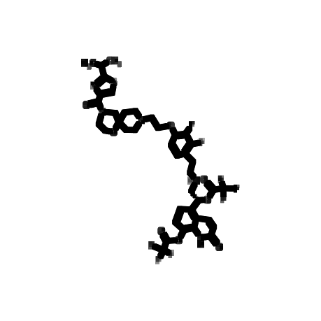 CC(C)c1nc(C(=O)N2CCOC3(CCN(CCOc4ccc(CCNC[C@H](OC(=O)C(F)(F)F)c5ccc(OC(=O)C(F)(F)F)c6[nH]c(=O)ccc56)c(F)c4F)CC3)C2)cs1